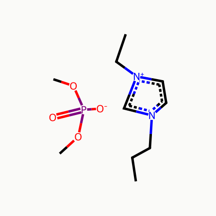 CCCn1cc[n+](CC)c1.COP(=O)([O-])OC